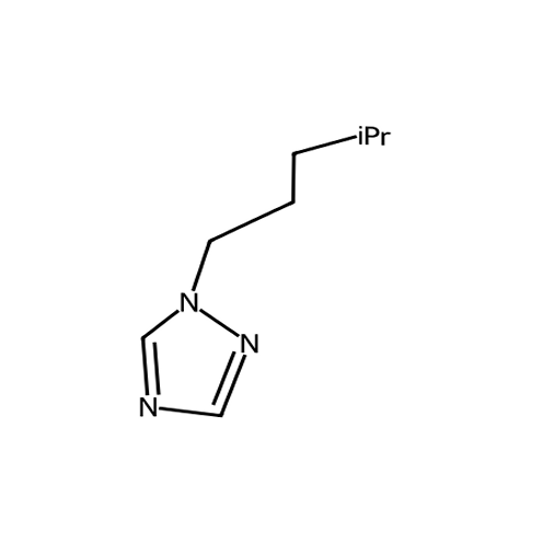 CC(C)CCCn1cncn1